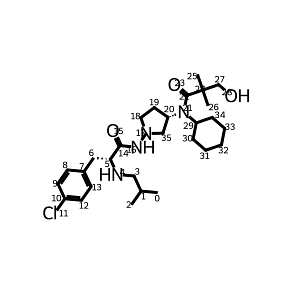 CC(C)CN[C@H](Cc1ccc(Cl)cc1)C(=O)NN1CC[C@H](N(C(=O)C(C)(C)CO)C2CCCCC2)C1